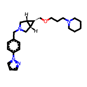 c1cnn(-c2ccc(CN3C[C@@H]4[C@H](COCCCN5CCCCC5)[C@@H]4C3)cc2)c1